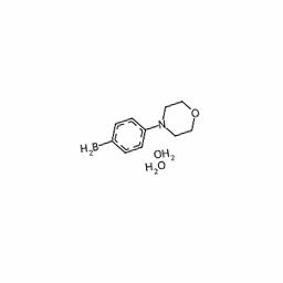 Bc1ccc(N2CCOCC2)cc1.O.O